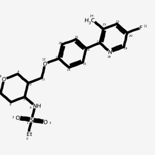 CCS(=O)(=O)NC1CCOCC1COc1ccc(-c2ncc(F)cc2C)cc1